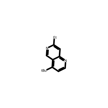 CCc1cc2nccc(C(C)(C)C)c2cn1